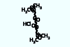 CC1CN(CCCOC(=O)/C=C/C(=O)OCCCN2CC(C)OC(C)C2)CC(C)O1.Cl